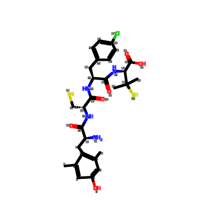 Cc1cc(O)cc(C)c1C[C@H](N)C(=O)N[C@H](CS)C(=O)N[C@@H](Cc1ccc(Cl)cc1)C(=O)N[C@@H](C(=O)O)C(C)(C)S